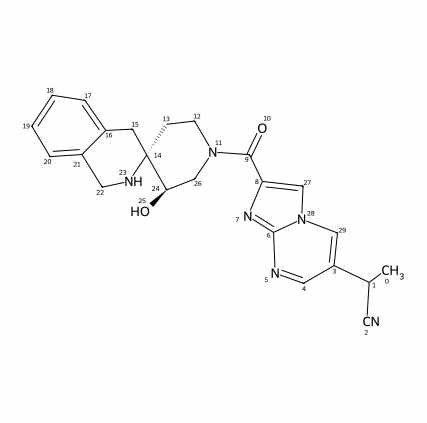 CC(C#N)c1cnc2nc(C(=O)N3CC[C@]4(Cc5ccccc5CN4)[C@H](O)C3)cn2c1